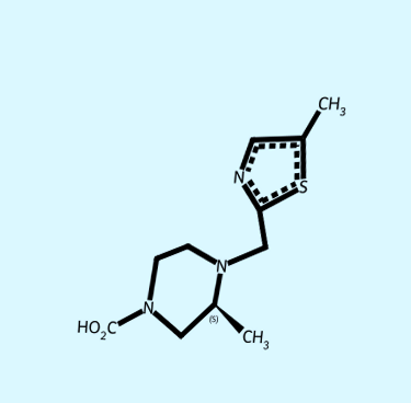 Cc1cnc(CN2CCN(C(=O)O)C[C@@H]2C)s1